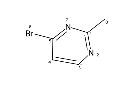 Cc1n[c]cc(Br)n1